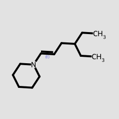 CCC(CC)C/C=C/N1CCCCC1